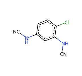 N#CNc1ccc(Cl)c(NC#N)c1